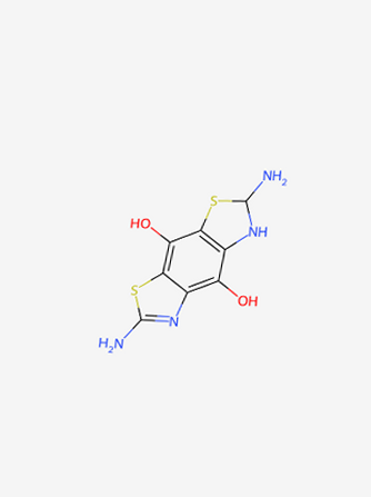 Nc1nc2c(O)c3c(c(O)c2s1)SC(N)N3